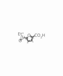 CC[S+]([O-])c1ccc(C(=O)O)o1